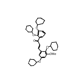 COc1cc(OC2CCCCC2)cc(C=CC(=O)c2cccc(OC3CCCCC3)c2OC2CCCCC2)c1OC1CCCCC1